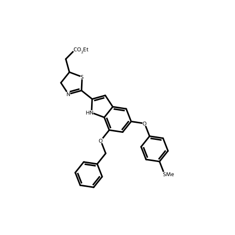 CCOC(=O)CC1CN=C(c2cc3cc(Oc4ccc(SC)cc4)cc(OCc4ccccc4)c3[nH]2)S1